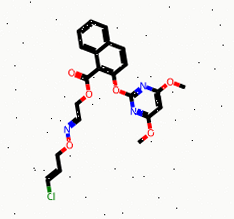 COc1cc(OC)nc(Oc2ccc3ccccc3c2C(=O)OCC=NOCC=CCl)n1